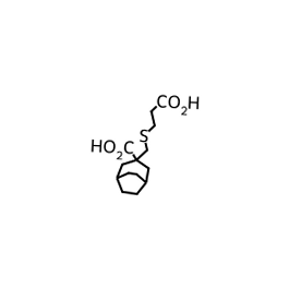 O=C(O)CCSCC1(C(=O)O)CC2CCC(CC2)C1